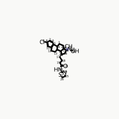 C[C@]12CCC3c4ccc(Cl)cc4CCC3C1[C@H](CCCC(=O)NC1=NCCS1)C/C2=N\O